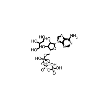 Nc1ncnc2c1ncn2[C@@H]1O[C@H](COP(=O)(O)OP(=O)(O)OP(=O)(O)O)[C@@H](O)[C@H]1O.OCC(O)CO